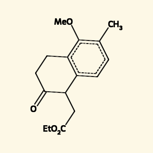 CCOC(=O)CC1C(=O)CCc2c1ccc(C)c2OC